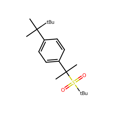 CC(C)(C)C(C)(C)c1ccc(C(C)(C)S(=O)(=O)C(C)(C)C)cc1